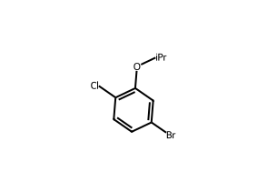 CC(C)Oc1cc(Br)ccc1Cl